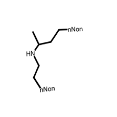 CCCCCCCCCCCNC(C)CCCCCCCCCCC